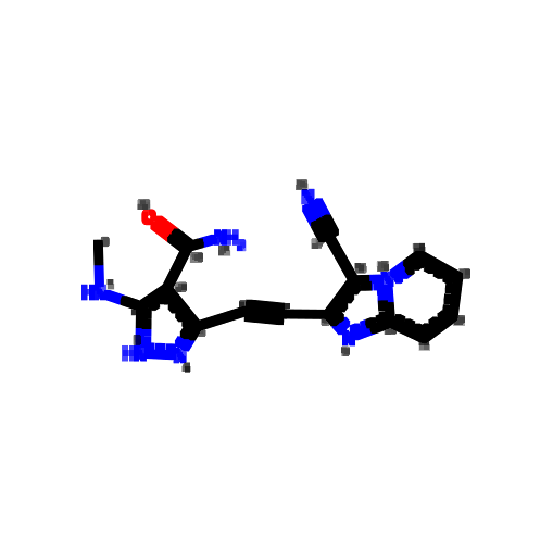 CNc1[nH]nc(C#Cc2nc3ccccn3c2C#N)c1C(N)=O